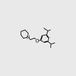 CC(C)c1[c]c(C(C)C)cc(OCCN2CCCCC2)c1